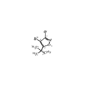 CC(C)(C)c1onc(Br)c1Br